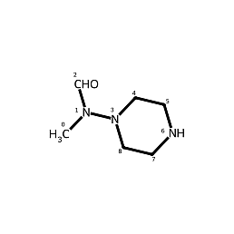 CN(C=O)N1CCNCC1